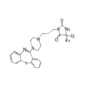 CCC1(CC)NC(=O)N(CCCN2CCN(C3=Nc4ccccc4Sc4ccccc43)CC2)C1=O